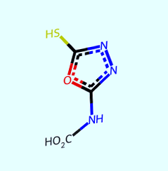 O=C(O)Nc1nnc(S)o1